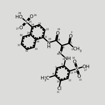 CC(=O)C(=NNc1cc(C)c(Cl)cc1S(=O)(=O)O)C(=O)Nc1ccc(S(=O)(=O)O)c2ccccc12